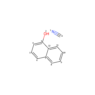 C#N.Oc1cccc2ccccc12